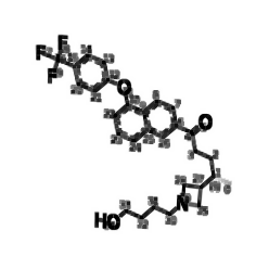 C[C@@H](CCC(=O)c1ccc2c(Oc3ccc(C(F)(F)F)cc3)cccc2c1)C1CN(CCCCO)C1